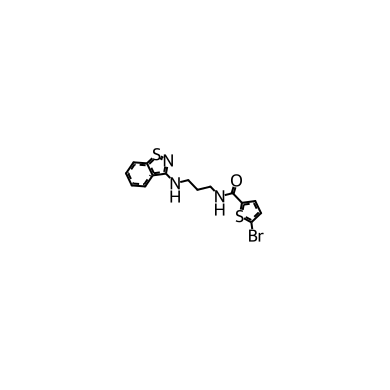 O=C(NCCCNc1nsc2ccccc12)c1ccc(Br)s1